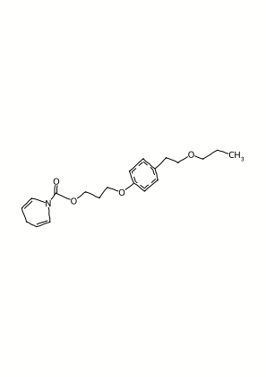 CCCOCCc1ccc(OCCCOC(=O)N2C=CCC=C2)cc1